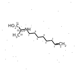 C=CCCCCCCN[C@@H](C)C(=O)O